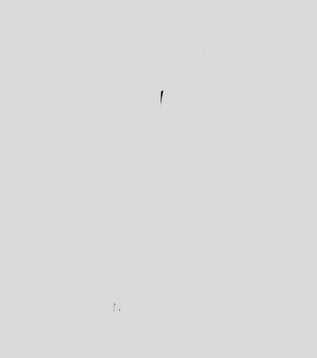 N#Cc1ccc(C=C[C@H]2CC[C@H](CCC=O)CC2)cc1